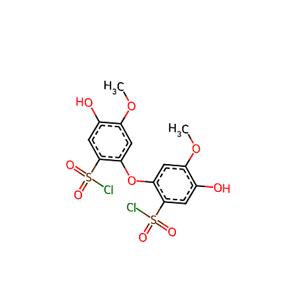 COc1cc(Oc2cc(OC)c(O)cc2S(=O)(=O)Cl)c(S(=O)(=O)Cl)cc1O